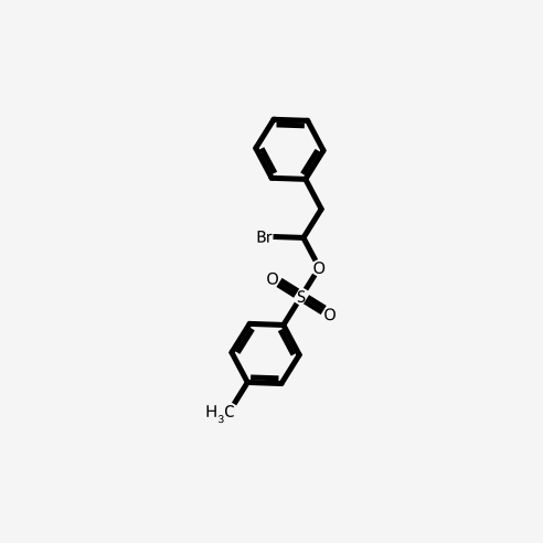 Cc1ccc(S(=O)(=O)OC(Br)Cc2ccccc2)cc1